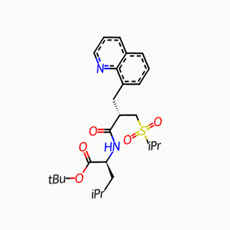 CC(C)C[C@H](NC(=O)[C@H](Cc1cccc2cccnc12)CS(=O)(=O)C(C)C)C(=O)OC(C)(C)C